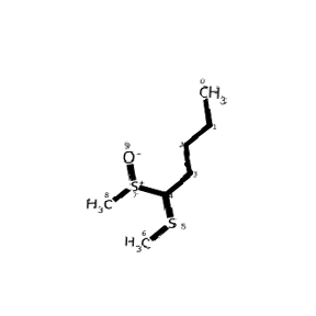 CCCCC(SC)[S+](C)[O-]